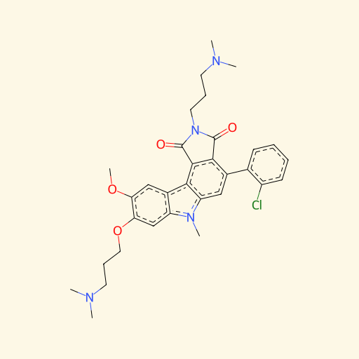 COc1cc2c3c4c(c(-c5ccccc5Cl)cc3n(C)c2cc1OCCCN(C)C)C(=O)N(CCCN(C)C)C4=O